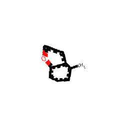 Cc1cccc2o[c]cc12